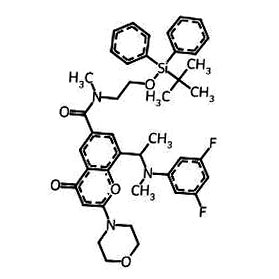 CC(c1cc(C(=O)N(C)CCO[Si](c2ccccc2)(c2ccccc2)C(C)(C)C)cc2c(=O)cc(N3CCOCC3)oc12)N(C)c1cc(F)cc(F)c1